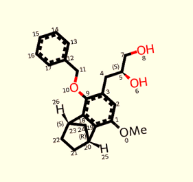 COc1cc(C[C@H](O)CO)c(OCc2ccccc2)c2c1[C@@H]1CC[C@H]2C1